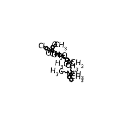 CCCCC[N+]1=C(/C=C/C=C/C=C2/N(CC)c3ccc(CC(=O)N4CCN(C(=O)Cc5c(C)n(C(=O)c6ccc(Cl)cc6)c6ccc(OC)cc56)CC4)cc3C2(C)C)C(C)(C)c2c1ccc1ccccc21